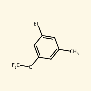 CCc1cc(C)cc(OC(F)(F)F)c1